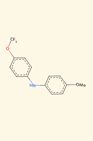 COc1ccc(Nc2ccc(OC(F)(F)F)cc2)cc1